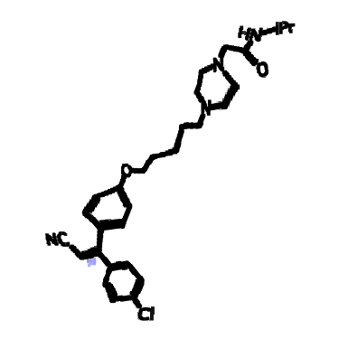 CC(C)NC(=O)CN1CCN(CCCCCOc2ccc(/C(=C\C#N)c3ccc(Cl)cc3)cc2)CC1